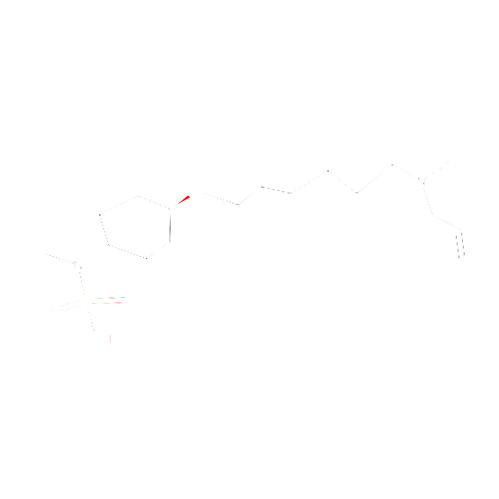 C=CCN(C)CCCCCCO[C@H]1CC[C@H](N(C)S(=O)(=O)O)CC1